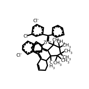 CC12C(=C3Cc4ccccc4C3=C3C=CCCC31)[C](C)([Zr+2](=[C](c1ccccc1)c1cccc(Cl)c1)[CH]1C=CC=C1)C(C)(C)C(C)(C)C2(C)C.[Cl-].[Cl-]